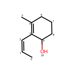 C/C=C\C1=C(C)CCCC1O